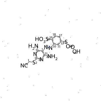 N#CCSc1nc(N)c(/N=N/c2cc(SOOO)ccc2S(=O)(=O)O)c(N)n1